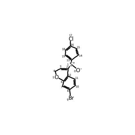 [O-][S+](C1=CCOc2cc(Br)ccc21)c1ccc(Cl)cc1